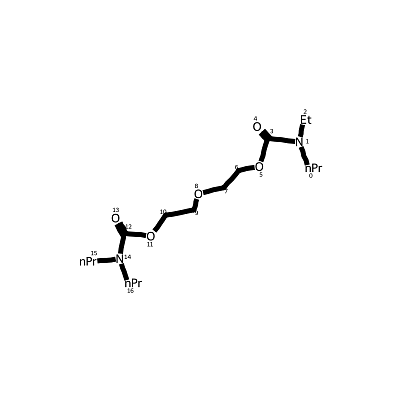 CCCN(CC)C(=O)OCCOCCOC(=O)N(CCC)CCC